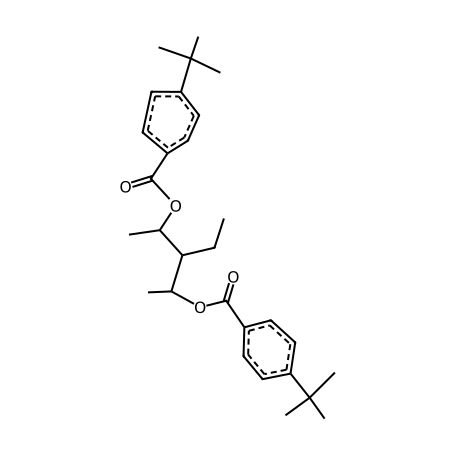 CCC(C(C)OC(=O)c1ccc(C(C)(C)C)cc1)C(C)OC(=O)c1ccc(C(C)(C)C)cc1